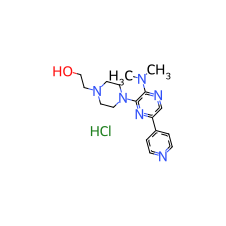 CN(C)c1ncc(-c2ccncc2)nc1N1CCN(CCO)CC1.Cl